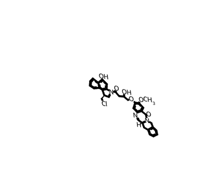 COc1cc2c(cc1OCC(O)CC(=O)N1C[C@@H](CCl)c3c1cc(O)c1ccccc31)N=C[C@@H]1Cc3ccccc3CN1C2=O